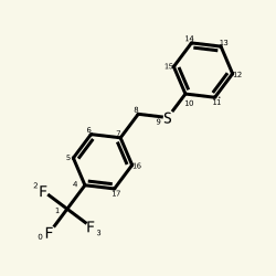 FC(F)(F)c1ccc(CSc2[c]cccc2)cc1